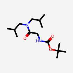 CC(C)CN(CC(C)C)C(=O)CNC(=O)OC(C)(C)C